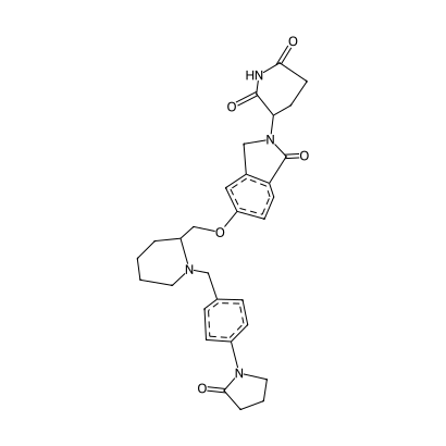 O=C1CCC(N2Cc3cc(OCC4CCCCN4Cc4ccc(N5CCCC5=O)cc4)ccc3C2=O)C(=O)N1